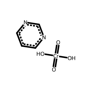 [O]=[Cr](=[O])([OH])[OH].c1cncnc1